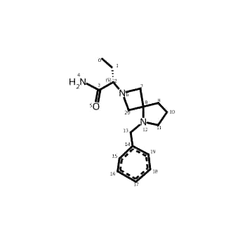 CC[C@@H](C(N)=O)N1CC2(CCCN2Cc2ccccc2)C1